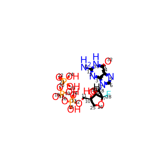 Nc1nc2c(ncn2[C@@H]2O[C@@]3(COP(=O)(O)OP(=O)(O)OP(=O)(O)O)CO[C@]2(F)[C@@H]3O)c(=O)[nH]1